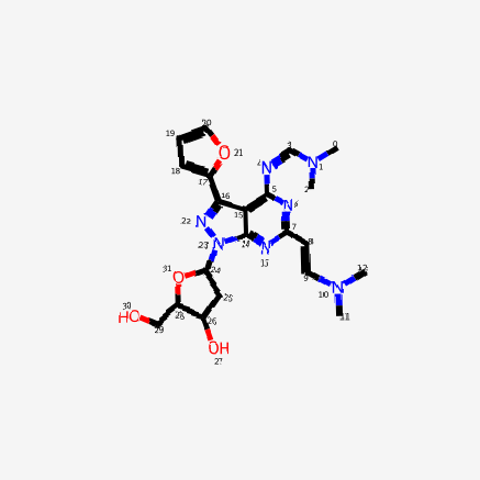 CN(C)/C=N\c1nc(/C=C/N(C)C)nc2c1c(-c1ccco1)nn2C1CC(O)C(CO)O1